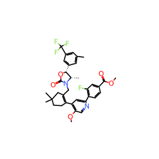 COC(=O)c1ccc(-c2cc(C3=C(CN4C(=O)O[C@H](c5cc(C)cc(C(F)(F)F)c5)[C@@H]4C)CC(C)(C)CC3)c(OC)cn2)c(F)c1